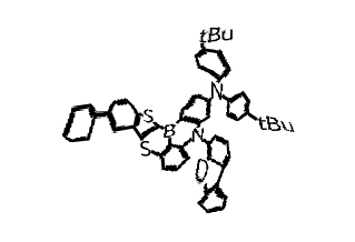 CC(C)(C)c1ccc(N(c2ccc(C(C)(C)C)cc2)c2ccc3c(c2)N(c2cccc4c2oc2ccccc24)c2cccc4c2B3c2sc3ccc(-c5ccccc5)cc3c2S4)cc1